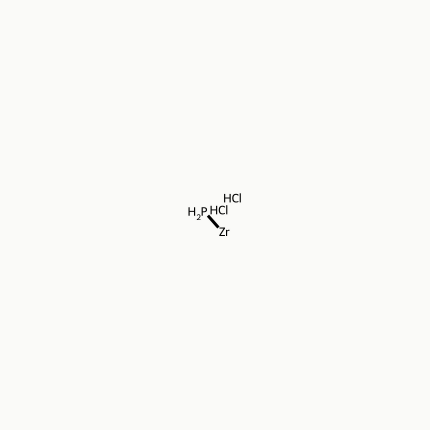 Cl.Cl.[PH2][Zr]